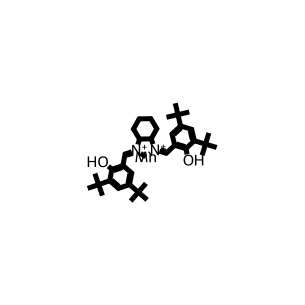 CC(C)(C)c1cc(C=[N+]2[Mn][N+](=Cc3cc(C(C)(C)C)cc(C(C)(C)C)c3O)C3CCCCC32)c(O)c(C(C)(C)C)c1